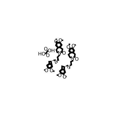 COc1cc2c(cc1OC)CC(=O)N(CCCN(C)C[C@H]1Cc3cc(OC)c(OC)cc31)CC2.COc1cc2c(cc1OC)CC(=O)N(CCCN(C)C[C@H]1Cc3cc(OC)c(OC)cc31)CC2.O=C(O)C(=O)O